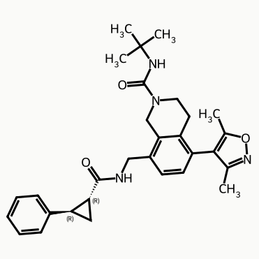 Cc1noc(C)c1-c1ccc(CNC(=O)[C@@H]2C[C@H]2c2ccccc2)c2c1CCN(C(=O)NC(C)(C)C)C2